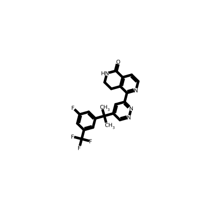 CC(C)(c1cc(F)cc(C(F)(F)F)c1)c1cnnc(-c2nccc3c2CCNC3=O)c1